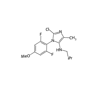 COc1cc(F)c(-n2c(Cl)nc(C)c2NCC(C)C)c(F)c1